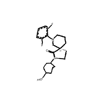 O=C1N(C2CCC(O)CC2)CC[C@]12CCCN(c1c(F)cccc1F)C2